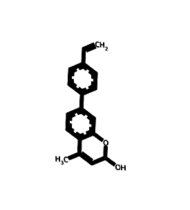 C=Cc1ccc(-c2ccc3c(c2)OC(O)C=C3C)cc1